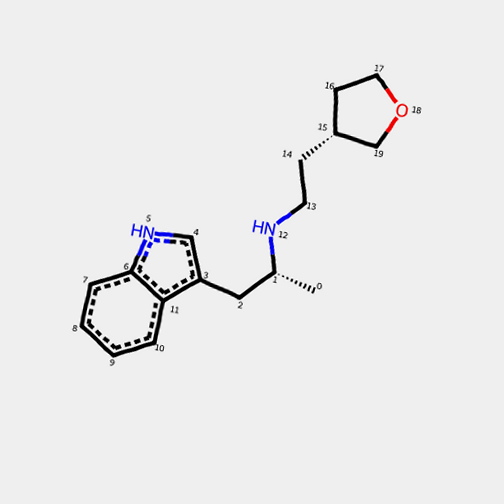 C[C@H](Cc1c[nH]c2ccccc12)NCC[C@@H]1CCOC1